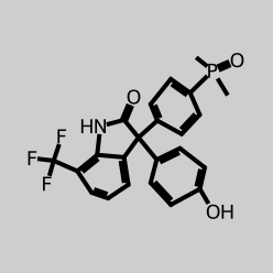 CP(C)(=O)c1ccc(C2(c3ccc(O)cc3)C(=O)Nc3c(C(F)(F)F)cccc32)cc1